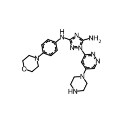 Nc1nc(Nc2ccc(N3CCOCC3)cc2)nn1-c1cc(N2CCNCC2)cnn1